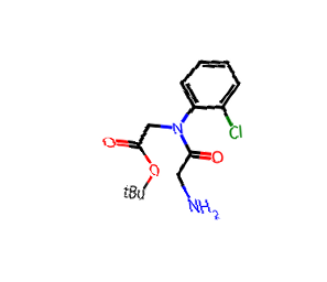 CC(C)(C)OC(=O)CN(C(=O)CN)c1ccccc1Cl